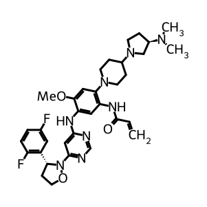 C=CC(=O)Nc1cc(Nc2cc(N3OCC[C@@H]3c3cc(F)ccc3F)ncn2)c(OC)cc1N1CCC(N2CC[C@@H](N(C)C)C2)CC1